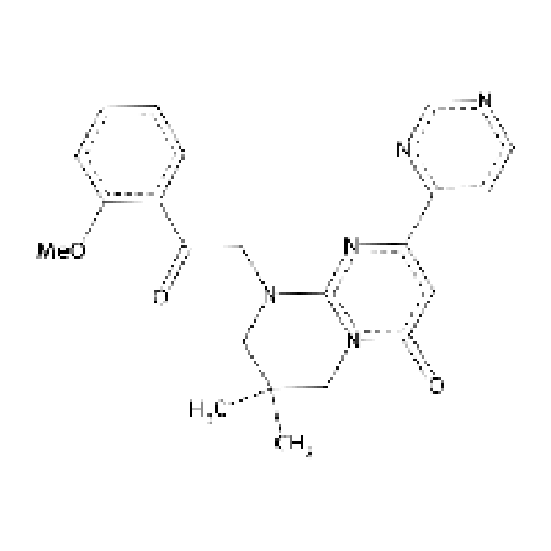 COc1ccccc1C(=O)CN1CC(C)(C)Cn2c1nc(-c1ccncn1)cc2=O